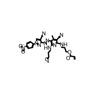 C=CC(=O)OCCCNc1nc(NCCCOC)c(N=Nc2nn(-c3ccc([N+](=O)[O-])cc3)cc2C#N)c(C)c1C#N